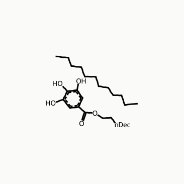 CCCCCCCCCCCC.CCCCCCCCCCCCOC(=O)c1cc(O)c(O)c(O)c1